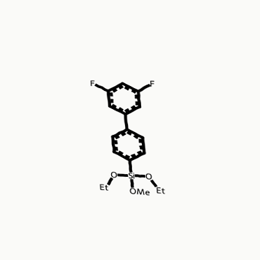 CCO[Si](OC)(OCC)c1ccc(-c2cc(F)cc(F)c2)cc1